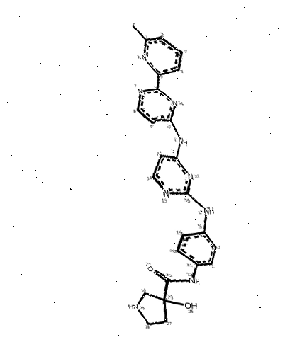 Cc1cccc(-c2nccc(Nc3ccnc(Nc4ccc(NC(=O)C5(O)CCNC5)cc4)n3)n2)n1